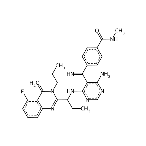 C=C1c2c(F)cccc2N=C(C(CC)Nc2ncnc(N)c2C(=N)c2ccc(C(=O)NC)cc2)N1CCC